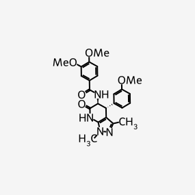 COc1cccc([C@@H]2c3c(C)nn(C)c3NC(=O)[C@H]2NC(=O)c2ccc(OC)c(OC)c2)c1